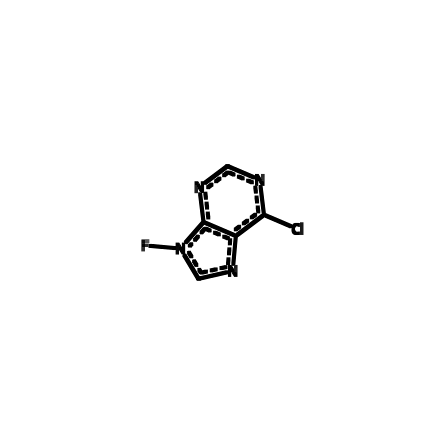 Fn1cnc2c(Cl)ncnc21